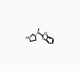 CN(c1nc2ccccc2o1)[C@@H]1CCNC1